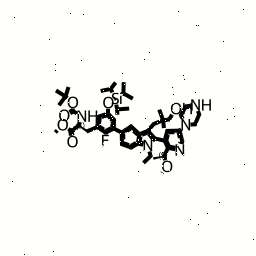 CCn1c(-c2cc(N3CCNCC3)cnc2[C@H](C)OC)c(CC(C)(C)CO)c2cc(-c3cc(O[Si](C(C)C)(C(C)C)C(C)C)cc(C[C@H](NC(=O)OC(C)(C)C)C(=O)OC)c3F)ccc21